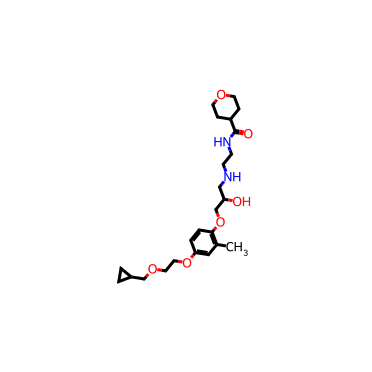 Cc1cc(OCCOCC2CC2)ccc1OCC(O)CNCCNC(=O)C1CCOCC1